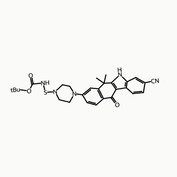 CC(C)(C)OC(=O)NSN1CCN(c2ccc3c(c2)C(C)(C)c2[nH]c4cc(C#N)ccc4c2C3=O)CC1